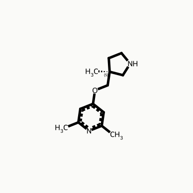 Cc1cc(OC[C@@]2(C)CCNC2)cc(C)n1